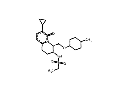 CCS(=O)(=O)N[C@H]1CCc2ccc(C3CC3)c(=O)n2[C@H]1COC1CCC(C)CC1